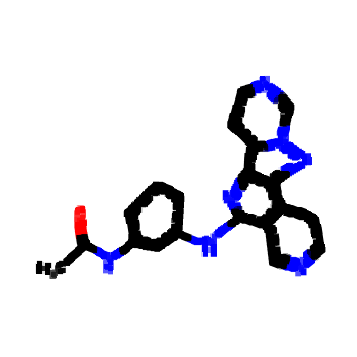 CC(=O)Nc1cccc(Nc2nc3c(nn4cnccc34)c3ccncc23)c1